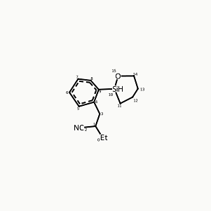 CCC(C#N)Cc1ccccc1[SiH]1CCCCO1